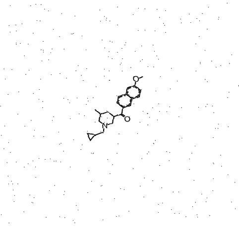 COc1ccc2cc(C(=O)C3CC(C)CN(CC4CC4)C3)ccc2c1